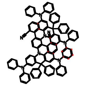 N#Cc1ccccc1-c1ccc(N2c3ccc(N(c4ccccc4)c4ccccc4)cc3C(c3ccccc3)(c3ccccc3)c3cc(N(c4ccccc4)c4ccccc4)ccc32)c(-c2ccccc2C#N)c1N1c2ccc(N(c3ccccc3)c3ccccc3)cc2C(c2ccccc2)(c2ccccc2)c2cc(N(c3ccccc3)c3ccccc3)ccc21